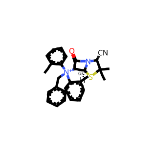 Cc1ccccc1[N+](Cc1ccccc1)(c1ccccc1C)C1C(=O)N2C(C#N)C(C)(C)S[C@@H]12